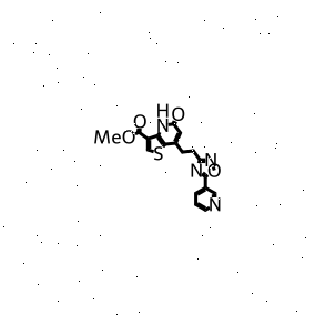 COC(=O)c1csc2c(CCc3noc(-c4cccnc4)n3)cc(=O)[nH]c12